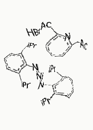 Br.CC(=O)c1cccc(C(C)=O)n1.CC(C)c1cccc(C(C)C)c1[N]=[Ni]=[N]c1c(C(C)C)cccc1C(C)C